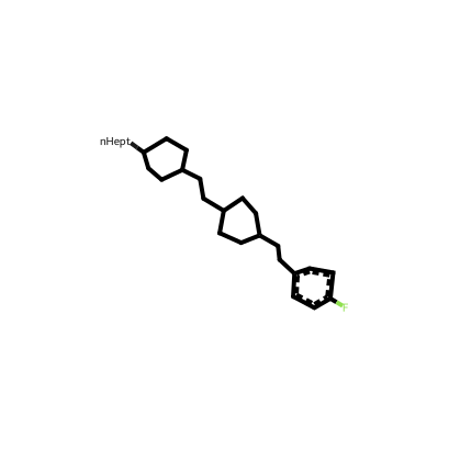 CCCCCCCC1CCC(CCC2CCC(CCc3ccc(F)cc3)CC2)CC1